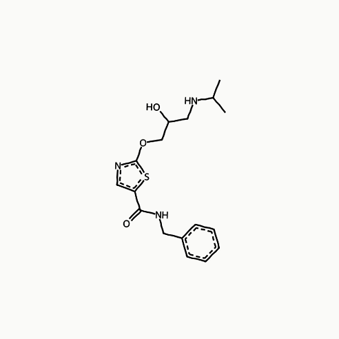 CC(C)NCC(O)COc1ncc(C(=O)NCc2ccccc2)s1